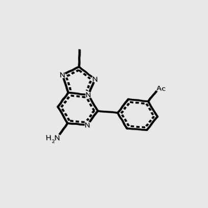 CC(=O)c1cccc(-c2nc(N)cc3nc(C)nn23)c1